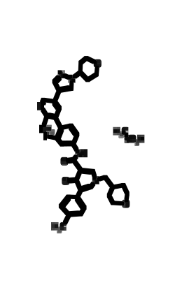 CS(=O)(=O)O.Cc1ccc(-c2cn(CC3CCOCC3)cc(C(=O)Nc3ccc(-c4cc(-c5cnn(C6CCOCC6)c5)cnc4N)c(F)c3)c2=O)cc1